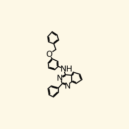 c1ccc(COc2cccc(Nc3nc(-c4ccccc4)nc4ccccc34)c2)cc1